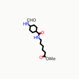 COC(=O)CCCCCNC(=O)C1CCC(NC=O)CC1